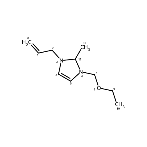 C=CCN1C=CN(COCC)C1C